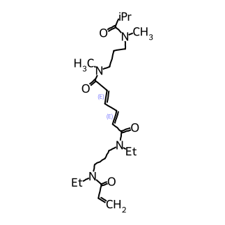 C=CC(=O)N(CC)CCCN(CC)C(=O)/C=C/C=C/C(=O)N(C)CCCN(C)C(=O)C(C)C